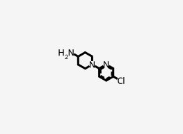 NC1CCN(c2ccc(Cl)cn2)CC1